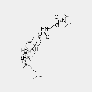 COP(OCCNC(=O)O[C@H]1CC[C@@]2(C)C(=CC[C@H]3[C@@H]4CC[C@H]([C@H](C)CCCC(C)C)[C@@]4(C)CC[C@@H]32)C1)N(C(C)C)C(C)C